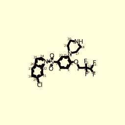 O=S(=O)(c1ccc(OCC(F)(F)C(F)F)c(N2CCNCC2)c1)n1ccc2ccc(Cl)cc21